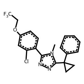 Cn1c(-c2ccc(OCC(F)(F)F)cc2Cl)nnc1C1(c2ccccc2)CC1